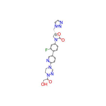 O=C(CO)N1CCN(c2ccc(-c3ccc(N4C[C@H](Cn5ccnn5)OC4=O)cc3F)cn2)C=N1